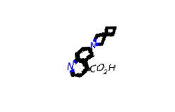 O=C(O)c1ccnc2ccc(N3CC4(CCC4)C3)cc12